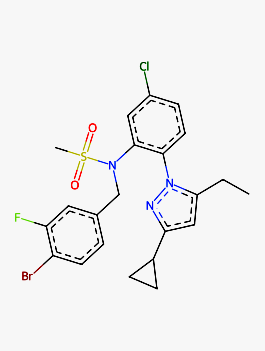 CCc1cc(C2CC2)nn1-c1ccc(Cl)cc1N(Cc1ccc(Br)c(F)c1)S(C)(=O)=O